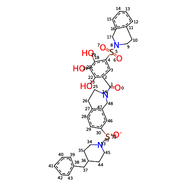 O=C(c1cc(S(=O)(=O)N2CCc3ccccc3C2)c(O)c(O)c1O)N1CCc2ccc([S+]([O-])N3CCC(Cc4ccccc4)CC3)cc2C1